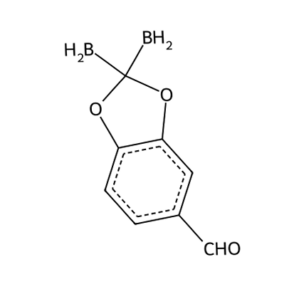 BC1(B)Oc2ccc(C=O)cc2O1